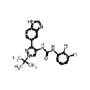 CC(C)(C)n1cc(NC(=O)Nc2cccc(Cl)c2Cl)c(-c2ccc3[nH]cnc3c2)n1